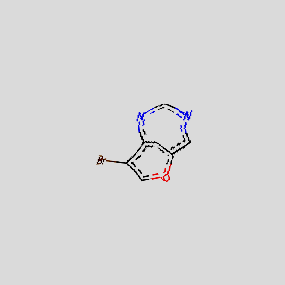 Brc1coc2cncnc12